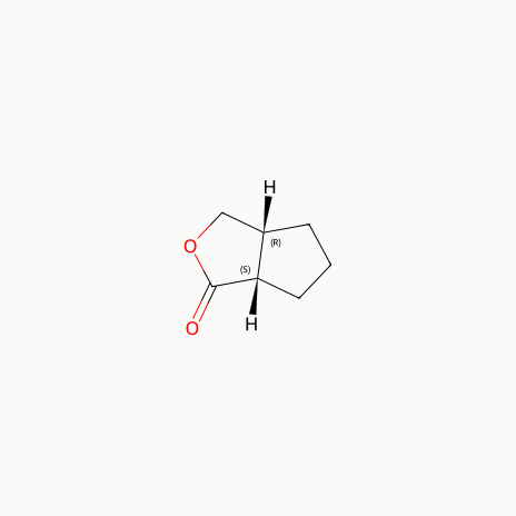 O=C1OC[C@@H]2CCC[C@H]12